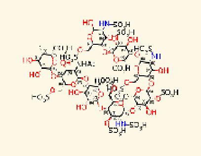 CC(=O)N[C@H]1[C@@H](O[C@H]2[C@H](O)[C@@H](O)[C@H](O[C@H]3[C@H](OS(=O)(=O)O)[C@@H](NS(=O)(=O)O)[C@@H](O[C@H]4[C@H](O)[C@@H](OS(=O)(=O)O)[C@H](O[C@H]5[C@H](O)[C@@H](NS(=O)(=O)O)[C@@H](O[C@H]6[C@H](O)[C@@H](OS(=O)(=O)O)[C@H](O[C@H]7[C@H](O)[C@@H](NS(=O)(=O)O)C(O)O[C@@H]7COS(=O)(=O)O)O[C@H]6C(=O)O)O[C@@H]5COS(=O)(=O)O)O[C@H]4C(=O)O)O[C@@H]3COS(=O)(=O)O)O[C@@H]2C(=O)O)O[C@H](COS(=O)(=O)O)[C@@H](O[C@@H]2O[C@@H](C(=O)O)[C@@H](C)[C@H](O)[C@H]2O)[C@@H]1O